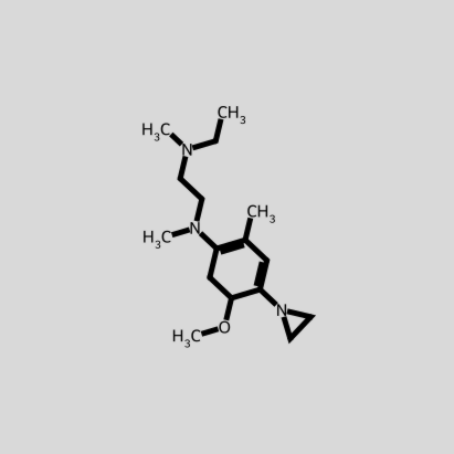 CCN(C)CCN(C)C1=C(C)C=C(N2CC2)C(OC)C1